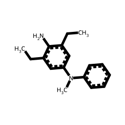 CCc1cc(N(C)c2ccccc2)cc(CC)c1N